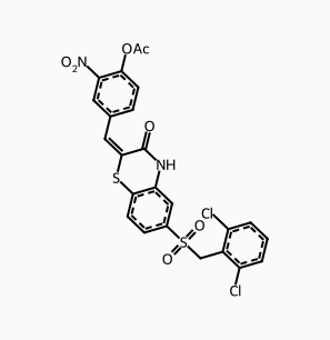 CC(=O)Oc1ccc(C=C2Sc3ccc(S(=O)(=O)Cc4c(Cl)cccc4Cl)cc3NC2=O)cc1[N+](=O)[O-]